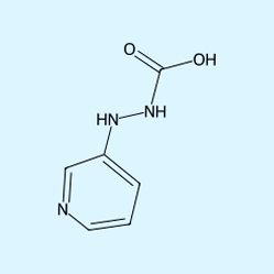 O=C(O)NNc1cccnc1